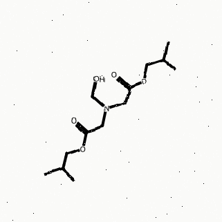 CC(C)COC(=O)CN(CO)CC(=O)OCC(C)C